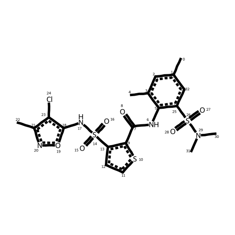 Cc1cc(C)c(NC(=O)c2sccc2S(=O)(=O)Nc2onc(C)c2Cl)c(S(=O)(=O)N(C)C)c1